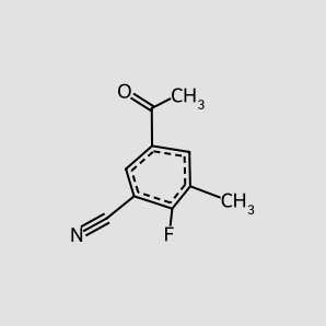 CC(=O)c1cc(C)c(F)c(C#N)c1